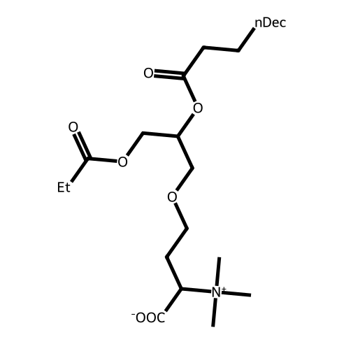 CCCCCCCCCCCCC(=O)OC(COCCC(C(=O)[O-])[N+](C)(C)C)COC(=O)CC